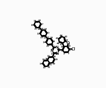 Clc1ccc(-c2nc(-c3ccc(-c4ccc(-c5ccccc5)cc4)cc3)nc(-c3ccc4ccccc4c3)n2)c2c1oc1ccccc12